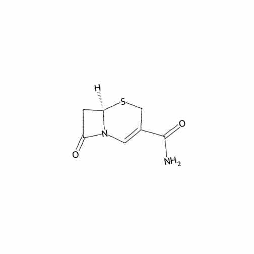 NC(=O)C1=CN2C(=O)C[C@H]2SC1